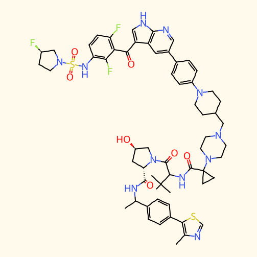 Cc1ncsc1-c1ccc(C(C)NC(=O)[C@@H]2C[C@@H](O)CN2C(=O)C(NC(=O)C2(N3CCN(CC4CCN(c5ccc(-c6cnc7[nH]cc(C(=O)c8c(F)ccc(NS(=O)(=O)N9CC[C@@H](F)C9)c8F)c7c6)cc5)CC4)CC3)CC2)C(C)(C)C)cc1